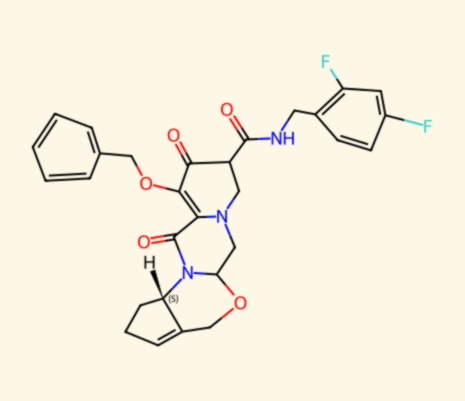 O=C(NCc1ccc(F)cc1F)C1CN2CC3OCC4=CCC[C@@H]4N3C(=O)C2=C(OCc2ccccc2)C1=O